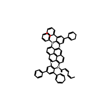 C=C(/C=C\C=C/C)N(c1c(F)cc(-c2ccccc2)cc1C1=CC=CCC=C1)c1ccc2ccc3c(N(c4ccccc4)c4c(F)cc(C5=CCCC=C5)cc4-c4ccccc4)ccc4ccc1c2c43